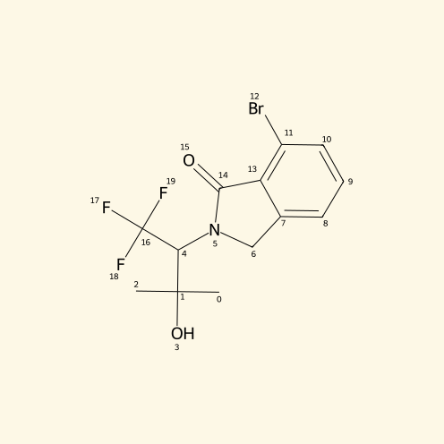 CC(C)(O)C(N1Cc2cccc(Br)c2C1=O)C(F)(F)F